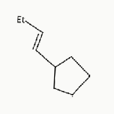 CC/C=C/C1C[CH]CC1